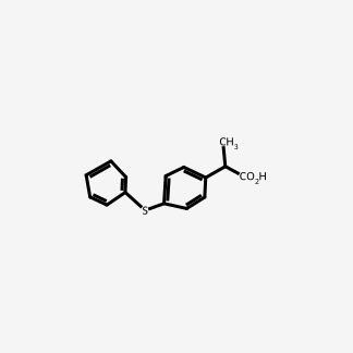 CC(C(=O)O)c1ccc(Sc2ccccc2)cc1